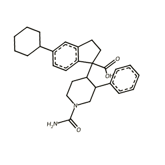 NC(=O)N1CCC(C2(C(=O)O)CCc3cc(C4CCCCC4)ccc32)C(c2ccccc2)C1